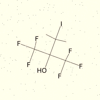 CC(C)(I)C(O)(C(F)(F)F)C(F)(F)F